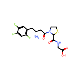 N[C@@H](CC(=O)N1CCSC1C(=O)NCC(=O)O)Cc1cc(F)c(F)cc1F